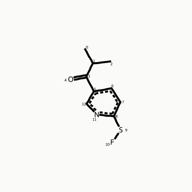 CC(C)C(=O)c1ccc(SF)nc1